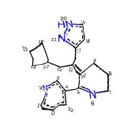 c1cncc(C2=NCCCC2=C(CC2CCC2)c2cc[nH]n2)c1